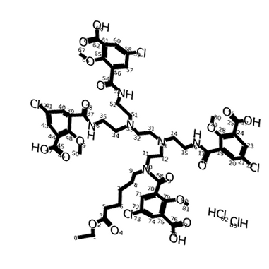 CCOC(=O)CCCCCN(CCN(CCNC(=O)c1cc(Cl)cc(C(=O)O)c1OC)CCN(CCNC(=O)c1cc(Cl)cc(C(=O)O)c1OC)CCNC(=O)c1cc(Cl)cc(C(=O)O)c1OC)C(=O)c1cc(Cl)cc(C(=O)O)c1OC.Cl.Cl